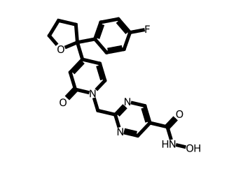 O=C(NO)c1cnc(Cn2ccc(C3(c4ccc(F)cc4)CCCO3)cc2=O)nc1